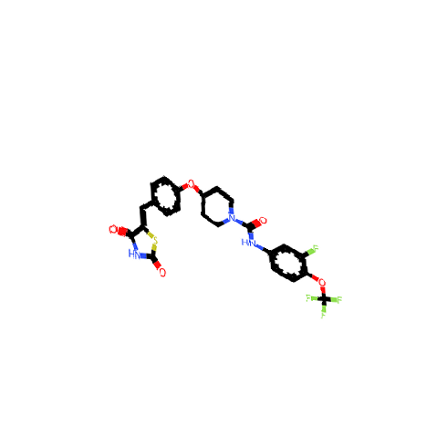 O=C1NC(=O)/C(=C/c2ccc(OC3CCN(C(=O)Nc4ccc(OC(F)(F)F)c(F)c4)CC3)cc2)S1